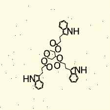 O=C(CCc1c[nH]c2ccccc12)O[C@H]1C[C@H](OC(=O)CCc2c[nH]c3ccccc23)[C@H](OC(=O)CCc2c[nH]c3ccccc23)CO1